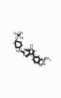 [2H]C([2H])([2H])O[C@H]1CC[C@@H](Nc2ncc3c(-c4ccc5nnn(C)c5c4)c[nH]c3n2)CC1